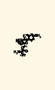 C=C1N=C(N)C=CN1[C@@H]1O[C@@](COC(=O)C(N)C(C)C)(N=[N+]=[N-])[C@@H](O)[C@H]1F